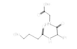 CC(C)C(NC(=O)CCCC(C)(C)C)C(=O)NCC(=O)C(C)(C)C